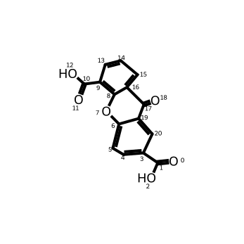 O=C(O)c1ccc2oc3c(C(=O)O)cccc3c(=O)c2c1